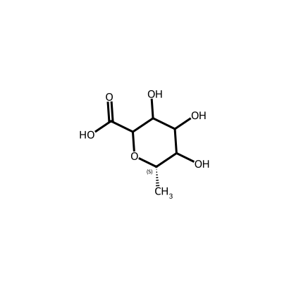 C[C@@H]1OC(C(=O)O)C(O)C(O)C1O